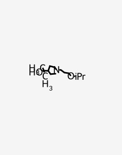 CC(C)OCCCN1CCC(C(C)(C)O)CC1